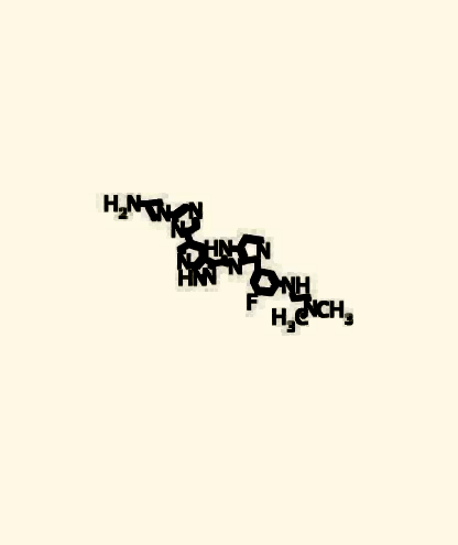 CN(C)CCNc1cc(F)cc(-c2nccc3[nH]c(-c4n[nH]c5ncc(-c6cncc(N7CC(N)C7)n6)cc45)nc23)c1